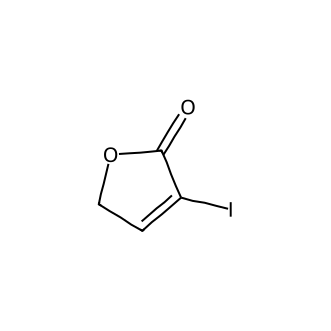 O=C1OCC=C1I